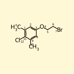 Cc1cc(OCCBr)cc(C)c1Cl